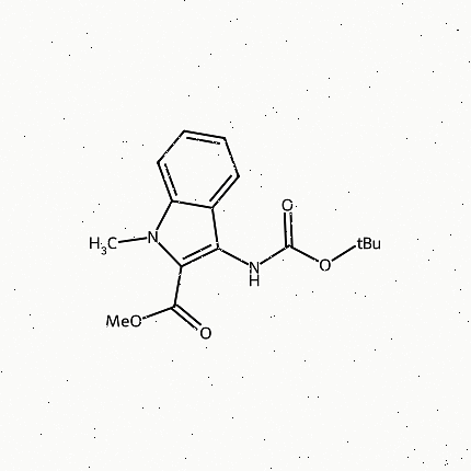 COC(=O)c1c(NC(=O)OC(C)(C)C)c2ccccc2n1C